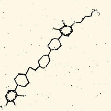 CCCCOc1ccc(C2CCC(C3CCC(CCC4CCC(c5ccc(C)c(F)c5F)CC4)CC3)CC2)c(F)c1F